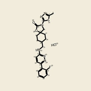 Cc1nnc(N2CC3(CCC(CNc4ccc(-c5ccccc5F)nn4)CC3)OC2=O)s1.Cl